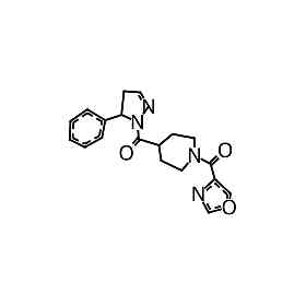 O=C(c1cocn1)N1CCC(C(=O)N2N=CCC2c2ccccc2)CC1